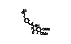 CCN(C)CCc1ccc(CN(C)c2nc(=O)c3c(C)c(OC)c(OC)cc3[nH]2)cc1